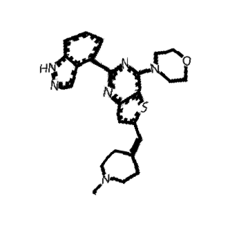 CN1CCC(=Cc2cc3nc(-c4cccc5[nH]ncc45)nc(N4CCOCC4)c3s2)CC1